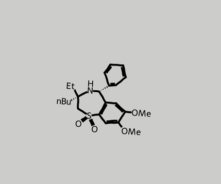 CCCC[C@@]1(CC)CS(=O)(=O)c2cc(OC)c(OC)cc2[C@@H](c2ccccc2)N1